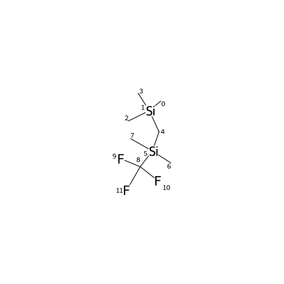 C[Si](C)(C)C[Si](C)(C)C(F)(F)F